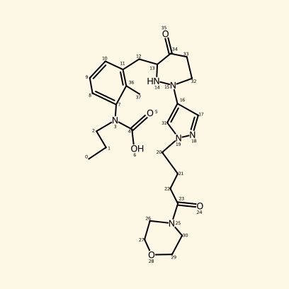 CCCN(C(=O)O)c1cccc(CC2NN(c3cnn(CCCC(=O)N4CCOCC4)c3)CCC2=O)c1C